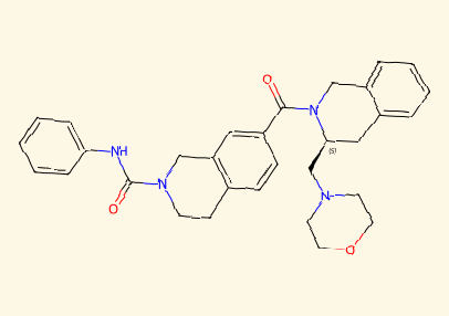 O=C(Nc1ccccc1)N1CCc2ccc(C(=O)N3Cc4ccccc4C[C@H]3CN3CCOCC3)cc2C1